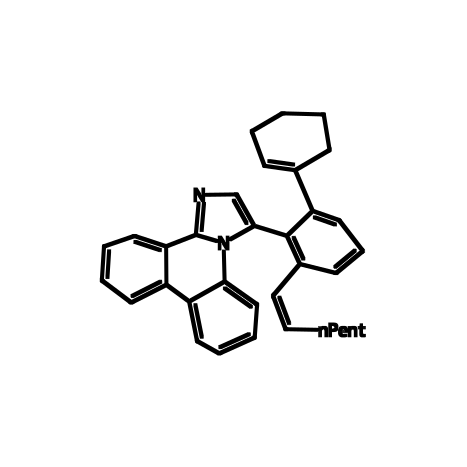 CCCCCC=Cc1cccc(C2=CCCCC2)c1-c1cnc2c3ccccc3c3ccccc3n12